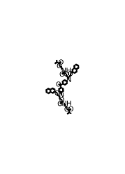 C=C(C)C(=O)OCCNC(=O)OCC(COc1ccc2ccccc2c1)N(C)c1ccc(C(=O)c2ccc(N(C)C(COC(=O)NCCOC(=O)C(=C)C)COc3ccc4ccccc4c3)cc2)cc1